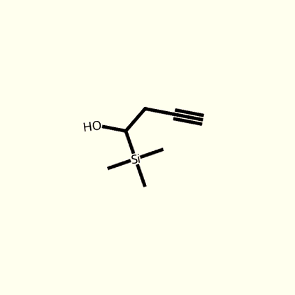 C#CCC(O)[Si](C)(C)C